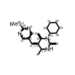 C=C1NC(C)/C(=C/c2cnc(SC)nc2)C(=C)N1C1CCCCC1